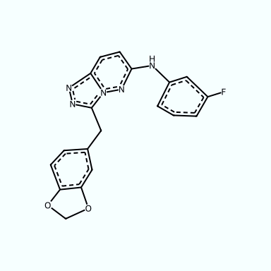 Fc1cccc(Nc2ccc3nnc(Cc4ccc5c(c4)OCO5)n3n2)c1